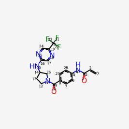 C=CC(=O)Nc1ccc(C(=O)N2CCC(Nc3cnc(C(F)(F)F)cn3)C2)cc1